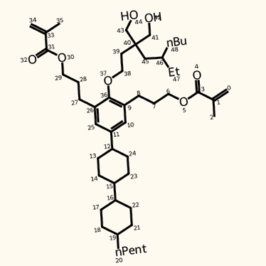 C=C(C)C(=O)OCCCc1cc(C2CCC(C3CCC(CCCCC)CC3)CC2)cc(CCCOC(=O)C(=C)C)c1OCCC(CO)(CO)CC(CC)CCCC